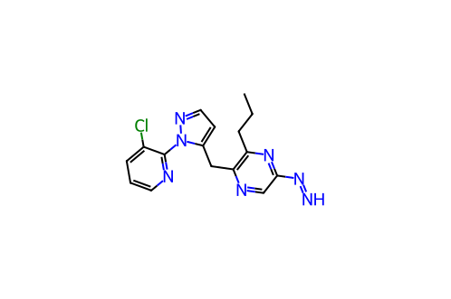 CCCc1nc(N=N)cnc1Cc1ccnn1-c1ncccc1Cl